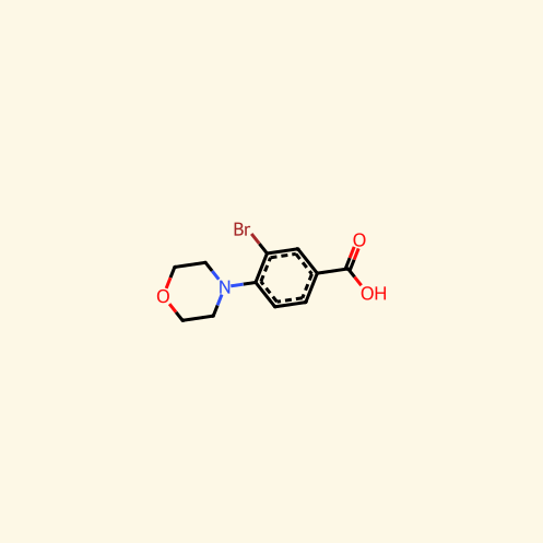 O=C(O)c1ccc(N2CCOCC2)c(Br)c1